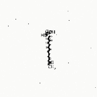 C=CC(=O)CCCCCCCCCCC[CH]P(=O)(O)O